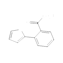 O=C(O)C(=O)c1ccccc1-c1ccco1